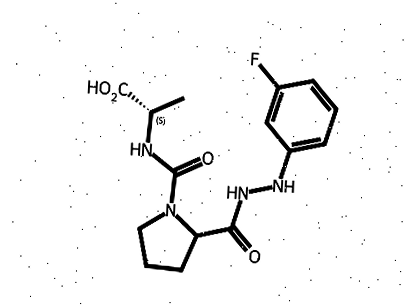 C[C@H](NC(=O)N1CCCC1C(=O)NNc1cccc(F)c1)C(=O)O